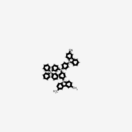 Cc1ccc2c(c1)c1cc(C)ccc1n2-c1ccc(N(c2ccc(-n3c4ccccc4c4cc(C#N)ccc43)cc2)c2cccc([Si](c3ccccc3)(c3ccccc3)c3ccccc3)c2)cc1